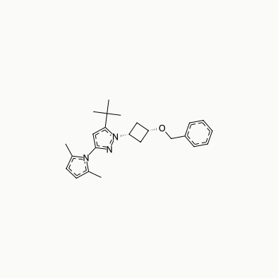 Cc1ccc(C)n1-c1cc(C(C)(C)C)n([C@H]2C[C@@H](OCc3ccccc3)C2)n1